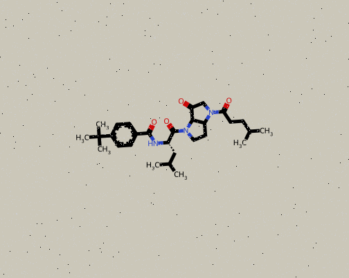 CC(C)CCC(=O)N1CC(=O)C2C1CCN2C(=O)[C@H](CC(C)C)NC(=O)c1ccc(C(C)(C)C)cc1